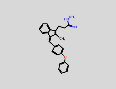 CC1=C(CCC(=N)NN)c2ccccc2/C1=C/c1ccc(Oc2ccccc2)cc1